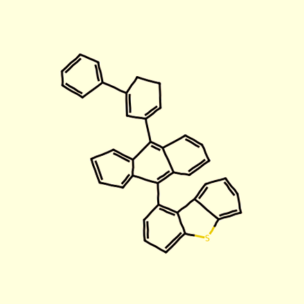 C1=C(c2ccccc2)CCC=C1c1c2ccccc2c(-c2cccc3sc4ccccc4c23)c2ccccc12